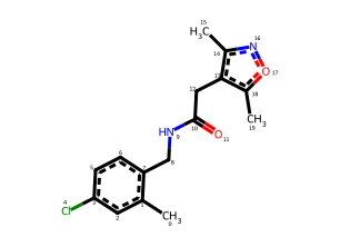 Cc1cc(Cl)ccc1CNC(=O)Cc1c(C)noc1C